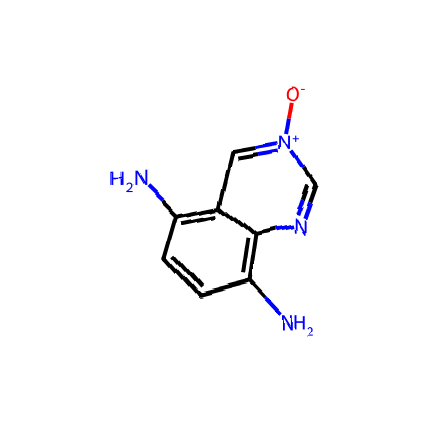 Nc1ccc(N)c2nc[n+]([O-])cc12